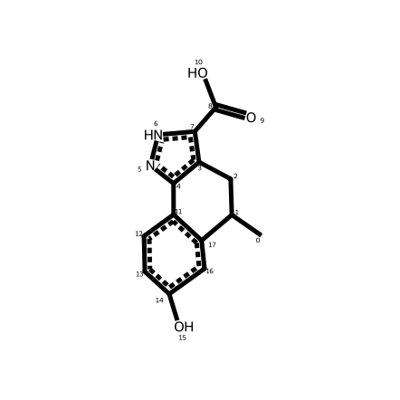 CC1Cc2c(n[nH]c2C(=O)O)-c2ccc(O)cc21